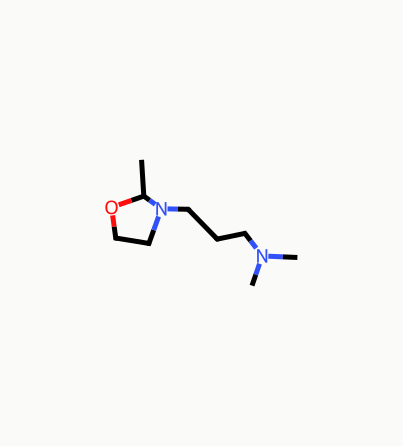 CC1OCCN1CCCN(C)C